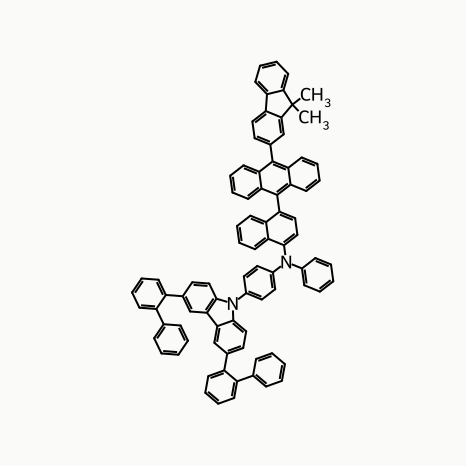 CC1(C)c2ccccc2-c2ccc(-c3c4ccccc4c(-c4ccc(N(c5ccccc5)c5ccc(-n6c7ccc(-c8ccccc8-c8ccccc8)cc7c7cc(-c8ccccc8-c8ccccc8)ccc76)cc5)c5ccccc45)c4ccccc34)cc21